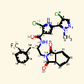 Cn1ncc(Cl)c1-c1cc(C(=O)N[C@@H](Cc2ccccc2C(F)(F)F)CN2C(=O)C3C=CC=CC3C2=O)c(Cl)[nH]1